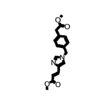 COC(=O)C=Cc1cn(Cc2ccc(CC(=O)OC)cc2)cn1